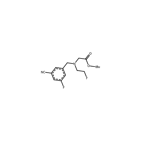 CC(C)(C)OC(=O)CN(CCF)Cc1cc(F)cc(C#N)c1